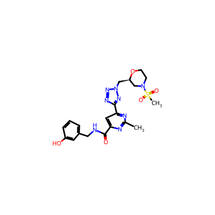 Cc1nc(C(=O)NCc2cccc(O)c2)cc(-c2nnn(C[C@@H]3CN(S(C)(=O)=O)CCO3)n2)n1